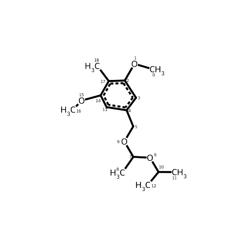 COc1cc(COC(C)OC(C)C)cc(OC)c1C